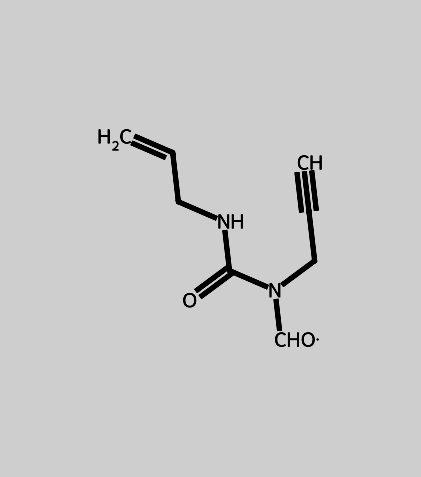 C#CCN([C]=O)C(=O)NCC=C